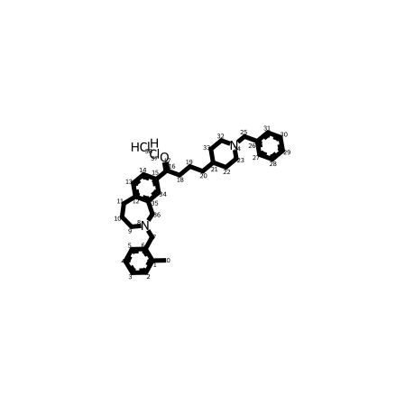 Cc1ccccc1CN1CCCc2ccc(C(=O)CCCC3CCN(Cc4ccccc4)CC3)cc2C1.Cl.Cl